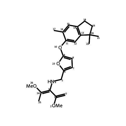 C=C(OC)/C(NCc1ccc(Oc2cc3c(cc2C)CCC3(C)C)o1)=C(\C)OC